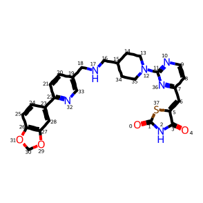 O=C1NC(=O)C(=Cc2ccnc(N3CCC(CNCc4ccc(-c5ccc6c(c5)OCO6)nc4)CC3)n2)S1